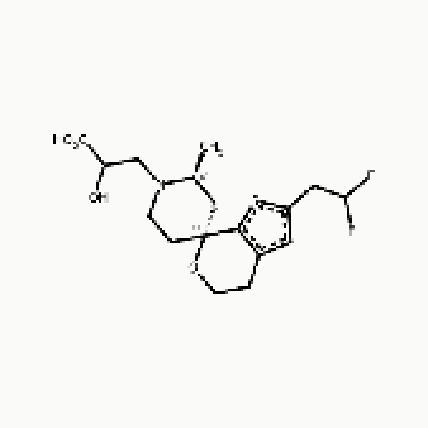 C[C@H]1C[C@@]2(CCN1CC(O)C(=O)O)OCCc1cc(CC(F)F)sc12